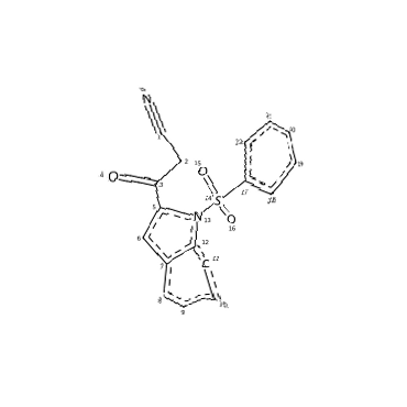 N#CCC(=O)c1cc2ccccc2n1S(=O)(=O)c1ccccc1